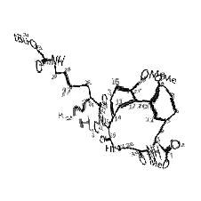 COC(=O)[C@@H]1Cc2ccc(OC)c(c2)-c2cc(ccc2OC)[C@H](N(C)C(=O)[C@@H](N)CCCCNC(=O)OC(C)(C)C)C(=O)NCC(=O)N1